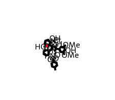 CC[N+](O)(O)c1ccccc1-c1nc(-c2cc(OC)c(O)c(OC)c2)n(C(=O)NS(=O)(=O)c2ccc(C)cc2)c1-c1ccccc1[N+](O)(O)CC